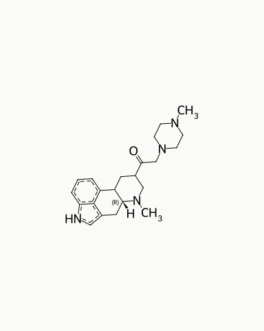 CN1CCN(CC(=O)C2CC3c4cccc5[nH]cc(c45)C[C@H]3N(C)C2)CC1